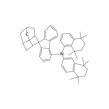 CC1(C)CCC(C)(C)c2cc(N(c3cccc4c3-c3ccccc3C43C4CC5CC6CC3C64C5)c3cccc4c3C(C)(C)CCC4(C)C)ccc21